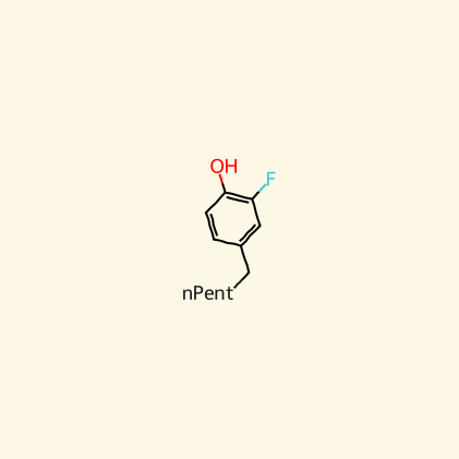 [CH2]CCCCCc1ccc(O)c(F)c1